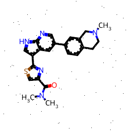 CN1CCc2ccc(-c3cnc4[nH]cc(-c5nc(C(=O)N(C)C)cs5)c4c3)cc2C1